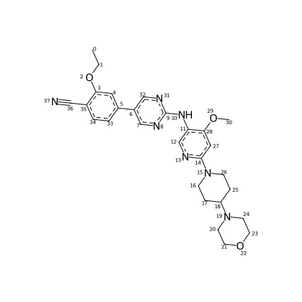 CCOc1cc(-c2cnc(Nc3cnc(N4CCC(N5CCOCC5)CC4)cc3OC)nc2)ccc1C#N